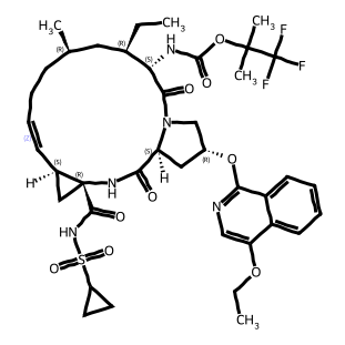 CCOc1cnc(O[C@@H]2C[C@H]3C(=O)N[C@]4(C(=O)NS(=O)(=O)C5CC5)C[C@H]4/C=C\CC[C@@H](C)C[C@@H](CC)[C@H](NC(=O)OC(C)(C)C(F)(F)F)C(=O)N3C2)c2ccccc12